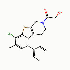 C=C/C(=C\C)c1cc(C)c(Cl)c2sc3c(c12)CCN(C(=O)CO)C3